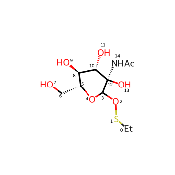 CCSOC1O[C@H](CO)[C@@H](O)[C@H](O)[C@]1(O)NC(C)=O